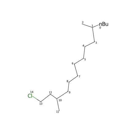 CCCCC(C)CCCCCCCC(C)CCCl